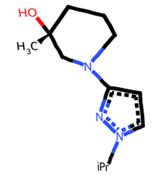 CC(C)n1ccc(N2CCC[C@@](C)(O)C2)n1